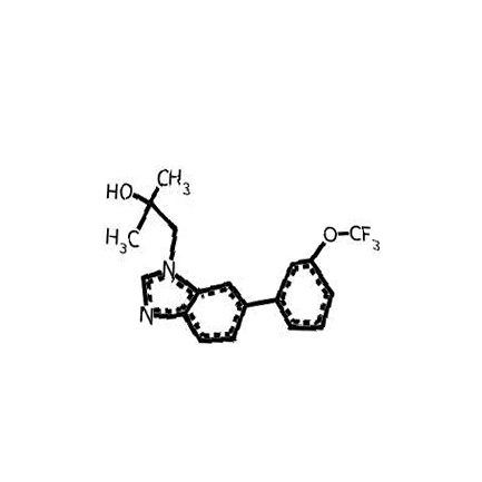 CC(C)(O)Cn1cnc2ccc(-c3cccc(OC(F)(F)F)c3)cc21